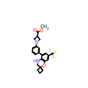 COC(=O)C1CN(c2cccc(-c3cc(C(F)(F)F)cc4c3NCC3(CCC3)O4)c2)C1